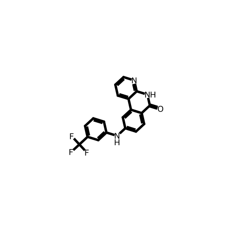 O=c1[nH]c2ncccc2c2cc(Nc3cccc(C(F)(F)F)c3)ccc12